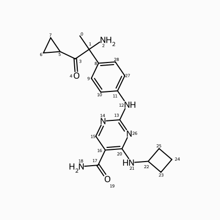 CC(N)(C(=O)C1CC1)c1ccc(Nc2ncc(C(N)=O)c(NC3CCC3)n2)cc1